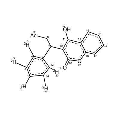 [2H]c1c([2H])c([2H])c(C(CC(C)=O)c2c(O)c3ccccc3oc2=O)c([2H])c1[2H]